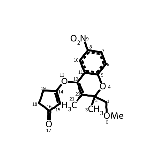 COCC1(C)Oc2ccc([N+](=O)[O-])cc2C(OC2=CC(=O)CC2)=C1C